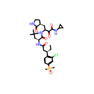 CC[C@H](CC(=O)N[C@@H](CC(C)(C)C)C(=O)NC(C[C@@H]1CCNC1=O)C(=O)C(=O)NC1CC1)c1ccc(P(C)(C)=O)cc1Cl